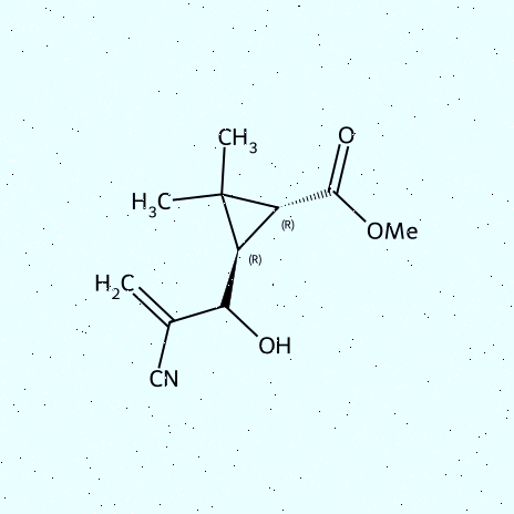 C=C(C#N)C(O)[C@@H]1[C@@H](C(=O)OC)C1(C)C